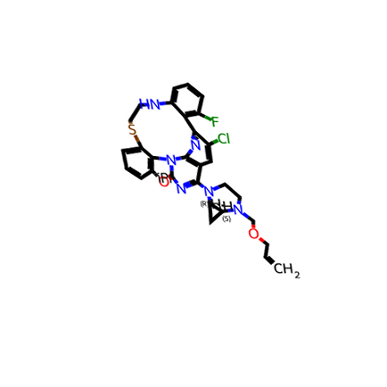 C=CCOCN1CCN(c2nc(=O)n3c4nc(c(Cl)cc24)-c2c(F)cccc2NCCSc2cccc(C(C)C)c2-3)[C@@H]2C[C@@H]21